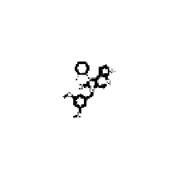 COc1cc(Cn2c(=O)n([C@H]3CCCC[C@H]3C)c3c4cc[nH]c4ncc32)cc(OC)c1